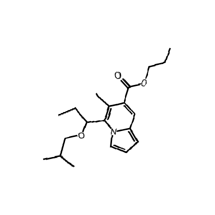 CCCOC(=O)c1cc2cccn2c(C(CC)OCC(C)C)c1C